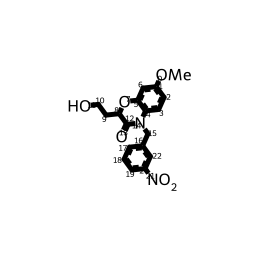 COc1ccc2c(c1)OC(CCO)C(=O)N2Cc1cccc([N+](=O)[O-])c1